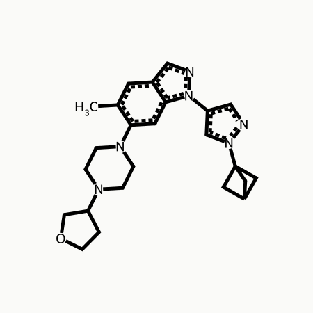 Cc1cc2cnn(-c3cnn(C45CC(C4)C5)c3)c2cc1N1CCN(C2CCOC2)CC1